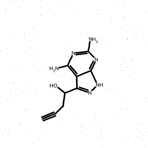 C#CCC(O)c1n[nH]c2nc(N)nc(N)c12